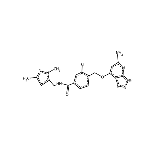 Cc1cc(CNC(=O)c2ccc(COc3cc(N)nc4[nH]nnc34)c(Cl)c2)n(C)n1